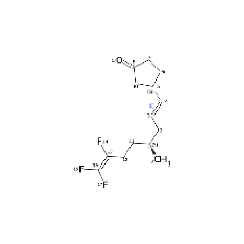 C[C@H](C/C=C/[C@H]1CCC(=O)C1)CCC(F)=C(F)F